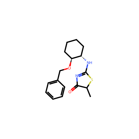 CC1SC(N[C@H]2CCCC[C@@H]2OCc2ccccc2)=NC1=O